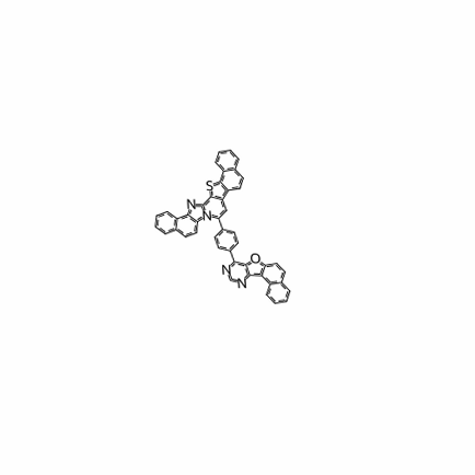 c1ccc2c(c1)ccc1c2nc2c3sc4c5ccccc5ccc4c3cc(-c3ccc(-c4ncnc5c4oc4ccc6ccccc6c45)cc3)n12